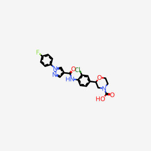 O=C(Nc1ccc(C2CN(C(=O)O)CCO2)cc1Cl)c1cnn(-c2ccc(F)cc2)c1